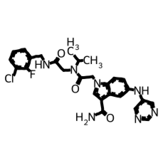 CC(C)N(CC(=O)NCc1cccc(Cl)c1F)C(=O)Cn1cc(C(N)=O)c2cc(Nc3cncnc3)ccc21